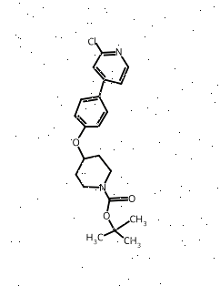 CC(C)(C)OC(=O)N1CCC(Oc2ccc(-c3ccnc(Cl)c3)cc2)CC1